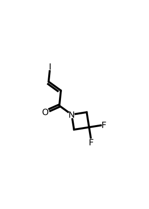 O=C(/C=C/I)N1CC(F)(F)C1